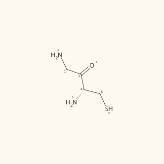 NCC(=O)[C@@H](N)CS